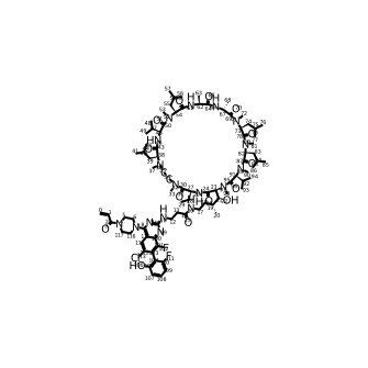 C=CC(=O)N1CCN(c2nc(NCCC(=O)NCC[C@@H](C)[C@@H](O)[C@H]3C(=O)N[C@@H](CC)C(=O)N(C)CCN(C)[C@@H](CC(C)C)C(=O)N[C@@H](C(C)C)C(=O)N(C)[C@@H](CC(C)C)C(=O)N[C@@H](C)C(=O)N[C@H](C)C(=O)N(C)[C@@H](CC(C)C)C(=O)N(C)[C@@H](CC(C)C)C(=O)N(C)[C@@H](C(C)C)C(=O)N3C)nc3c(F)c(-c4c(O)cccc4F)c(Cl)cc23)CC1